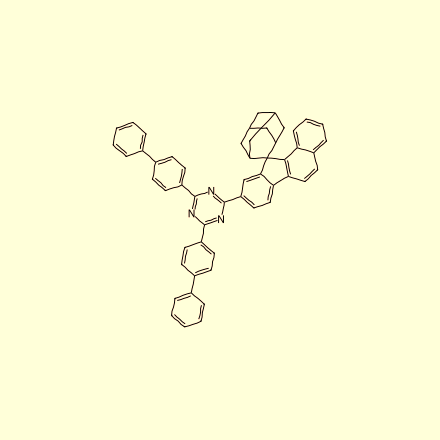 c1ccc(-c2ccc(-c3nc(-c4ccc(-c5ccccc5)cc4)nc(-c4ccc5c(c4)C4(c6c-5ccc5ccccc65)C5CC6CC(C5)CC4C6)n3)cc2)cc1